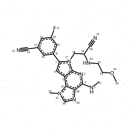 CNc1nc2c(cc(-c3cc(F)cc(C#N)c3)n2CC(C#N)NCCOC)c2c1ncn2C